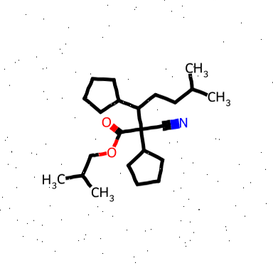 CC(C)CCC(C1CCCC1)C(C#N)(C(=O)OCC(C)C)C1CCCC1